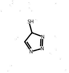 S[C]1C=NN=N1